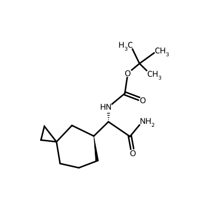 CC(C)(C)OC(=O)N[C@H](C(N)=O)[C@H]1CCCC2(CC2)C1